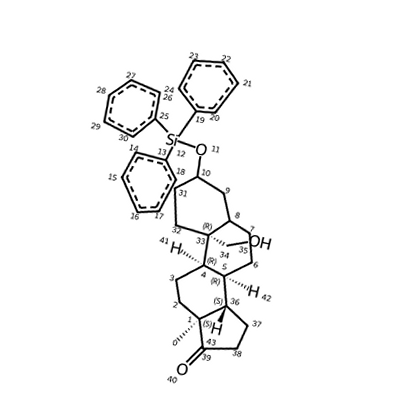 C[C@]12CC[C@@H]3[C@@H](CCC4CC(O[Si](c5ccccc5)(c5ccccc5)c5ccccc5)CC[C@@]43CO)[C@@H]1CCC2=O